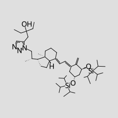 C=C1/C(=C/C=C2CCC[C@]3(C)[C@@H]([C@H](C)Cn4nncc4CC(O)(CC)CC)CC[C@@H]23)C[C@@H](O[Si](C(C)C)(C(C)C)C(C)C)C[C@@H]1O[Si](C(C)C)(C(C)C)C(C)C